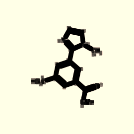 COC(=O)c1cc(C(=O)O)cc(-c2nccn2C)c1